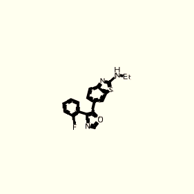 CCNc1nc2ccc(-c3ocnc3-c3ccccc3F)cc2s1